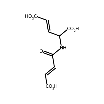 O=C(O)C=CC(=O)NC(C=CC(=O)O)C(=O)O